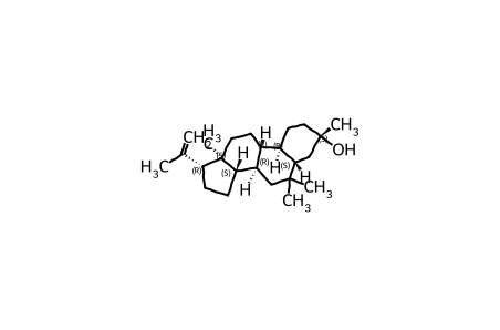 C=C(C)[C@H]1CC[C@H]2[C@@H]3CC(C)(C)[C@H]4C[C@@](C)(O)CC[C@@H]4[C@H]3CC[C@]12C